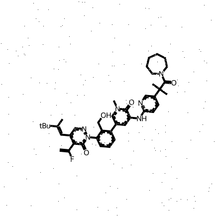 C=C(F)c1c(/C=C(\C)C(C)(C)C)cnn(-c2cccc(-c3cc(Nc4ccc(C(C)(C)C(=O)N5CCCCCC5)cn4)c(=O)n(C)c3)c2CO)c1=O